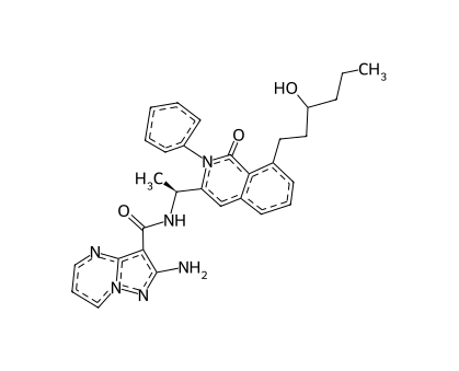 CCCC(O)CCc1cccc2cc([C@H](C)NC(=O)c3c(N)nn4cccnc34)n(-c3ccccc3)c(=O)c12